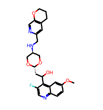 COc1ccc2ncc(F)c(C(O)C[C@H]3OC[C@H](NCc4cc5c(cn4)OCCC5)CO3)c2c1